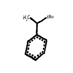 [CH2]C(c1ccccc1)C(C)(C)C